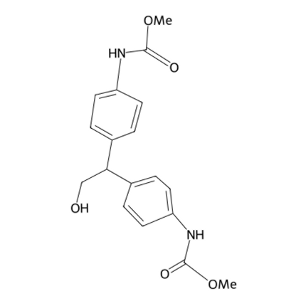 COC(=O)Nc1ccc(C(CO)c2ccc(NC(=O)OC)cc2)cc1